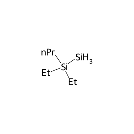 CCC[Si]([SiH3])(CC)CC